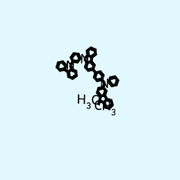 CC1(C)c2ccccc2-c2cc(N(c3ccccc3)c3ccc(-c4ccc5c(c4)c4ccccc4n5-c4cccc(-n5c6ccccc6c6ccccc65)c4)cc3)ccc21